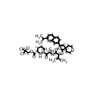 CC(C)c1ccc2ccc(/C=C/C3(C(=O)O[C@H](C(=O)N[C@@H](C)C(=O)N4CCC[C@@H](C(=O)OCC(Cl)(Cl)Cl)N4)C(C)C)CCOCC3)cc2n1